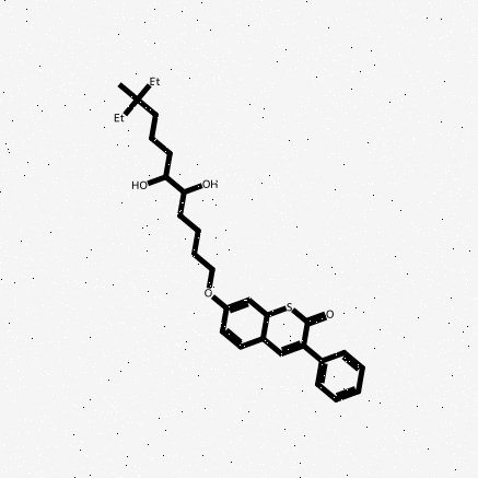 CCC(C)(CC)CCCC(O)C(O)CCCCOC1=CC2SC(=O)C(c3ccccc3)=CC2C=C1